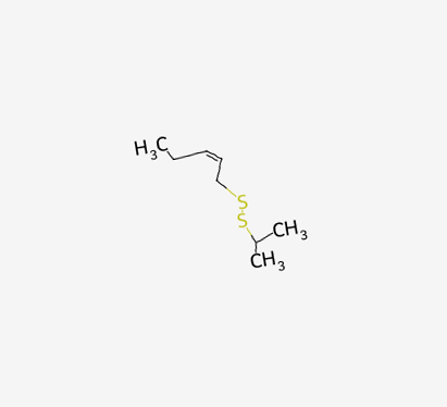 CC/C=C\CSSC(C)C